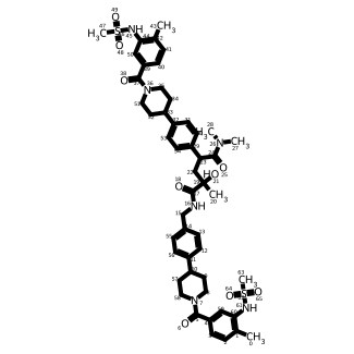 Cc1ccc(C(=O)N2CCC(c3ccc(CNC(=O)C(C)(O)CC(C(=O)N(C)C)c4ccc(C5CCN(C(=O)c6ccc(C)c(NS(C)(=O)=O)c6)CC5)cc4)cc3)CC2)cc1NS(C)(=O)=O